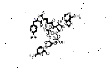 CN(C)c1ccc(/C=C2/SC(=S)N(C[C@H](N)C(=O)OC3C(O)[C@H](n4cnc5c(N)ncnc54)O[C@@H]3COP(=O)(O)OC3C[C@H](n4ccc(N)nc4=O)O[C@@H]3COP(=O)(O)O)C2=O)cc1